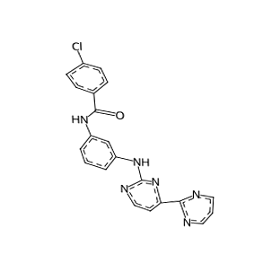 O=C(Nc1cccc(Nc2nccc(-c3ncccn3)n2)c1)c1ccc(Cl)cc1